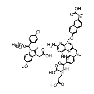 CN(Cc1cnc2nc(N)nc(N)c2n1)c1ccc(C(=O)N[C@@H](CCC(=O)O)C(=O)O)cc1.COc1ccc2c(c1)c(CC(=O)O)c(C)n2C(=O)c1ccc(Cl)cc1.COc1ccc2cc([C@H](C)C(=O)O)ccc2c1.[Cd+2].[Cl-].[Cl-].[Hg+2]